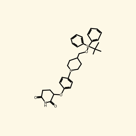 CC(C)(C)[Si](OCC1CCN(c2ccc(OC3CCC(=O)NC3=O)cc2)CC1)(c1ccccc1)c1ccccc1